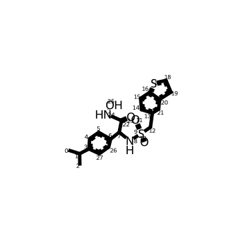 CC(C)c1ccc(C(NS(=O)(=O)Cc2ccc3sccc3c2)C(=O)NO)cc1